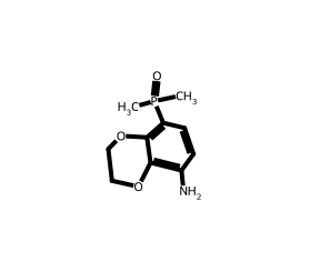 CP(C)(=O)c1ccc(N)c2c1OCCO2